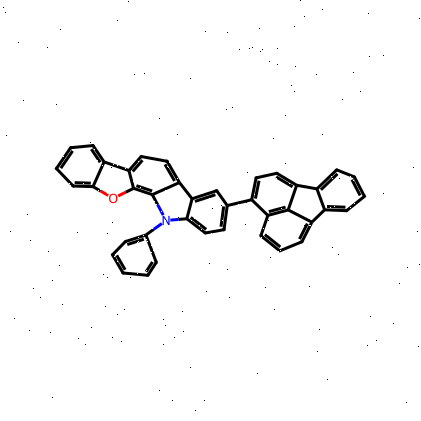 c1ccc(-n2c3ccc(-c4ccc5c6c(cccc46)-c4ccccc4-5)cc3c3ccc4c5ccccc5oc4c32)cc1